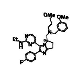 CCNc1nccc(-c2c(-c3ccc(F)cc3)nc3n2[C@H](CN(CCCOC)Cc2cccc(OC)c2)CC3)n1